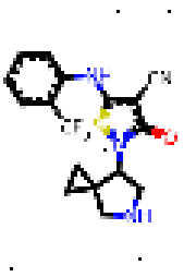 N#Cc1c(Nc2ccccc2C(F)(F)F)sn(C2CNCC23CC3)c1=O